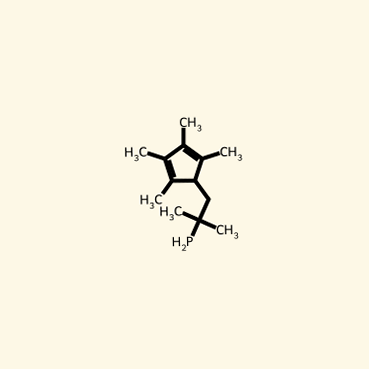 CC1=C(C)C(CC(C)(C)P)C(C)=C1C